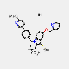 COc1ccc(-c2ccc(Cn3c(CC(C)(C)C(=O)O)c(SC(C)(C)C)c4cc(OCc5ccccn5)ccc43)cc2)cn1.[LiH]